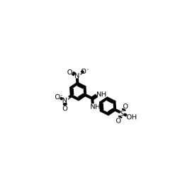 N=C(N)c1cc([N+](=O)[O-])cc([N+](=O)[O-])c1.O=S(=O)(O)c1ccccc1